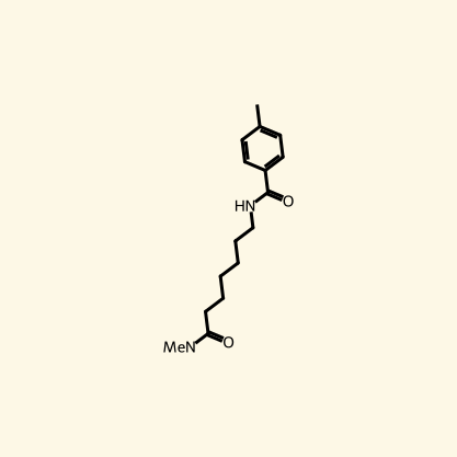 CNC(=O)CCCCCCNC(=O)c1ccc(C)cc1